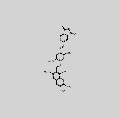 COc1cc(N=Nc2ccc3c(c2)C(=O)NC3=O)c(C)cc1N=Nc1c(S(=O)(=O)O)cc2cc(S(=O)(=O)O)c(N)cc2c1O